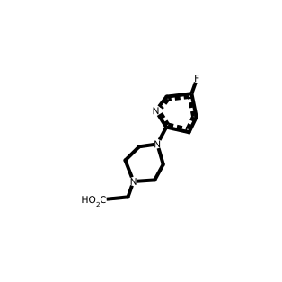 O=C(O)CN1CCN(c2ccc(F)cn2)CC1